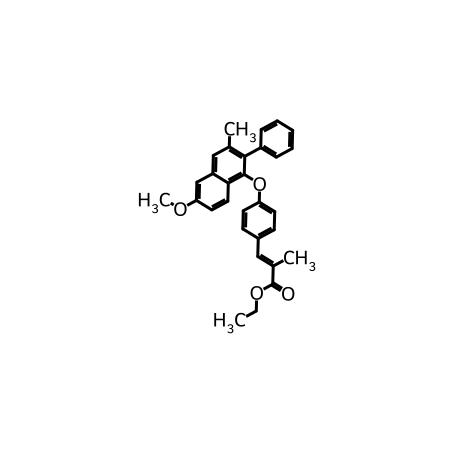 CCOC(=O)/C(C)=C/c1ccc(Oc2c(-c3ccccc3)c(C)cc3cc(OC)ccc23)cc1